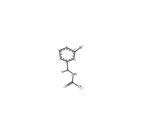 CC(NC(=O)C(F)(F)F)c1cccc(Br)c1